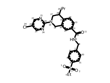 CCS(=O)(=O)c1ccc(CNC(=O)c2ccc3c(c2)CN(c2ncc(Cl)cn2)CC3C(C)C)cc1